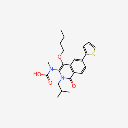 CCCCOc1c(N(C)C(=O)O)n(CC(C)C)c(=O)c2ccc(-c3cccs3)cc12